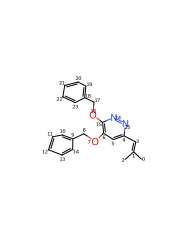 CC(C)=Cc1cc(OCc2ccccc2)c(OCc2ccccc2)nn1